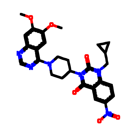 COc1cc2ncnc(N3CCC(n4c(=O)c5cc([N+](=O)[O-])ccc5n(CC5CC5)c4=O)CC3)c2cc1OC